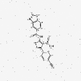 N#Cc1ccc(-c2csc(NC(=O)c3ccc4snnc4c3)c2C(=O)O)cc1